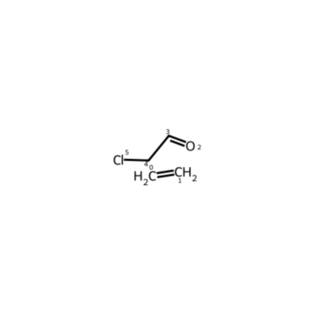 C=C.O=CCCl